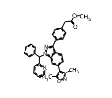 COC(=O)Cc1ccc(-c2nn(C(c3ccccc3)c3ccccn3)c3cc(-c4c(C)noc4C)ccc23)cc1